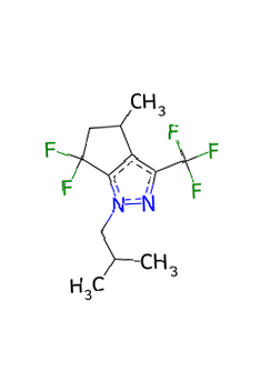 CC(C)Cn1nc(C(F)(F)F)c2c1C(F)(F)CC2C